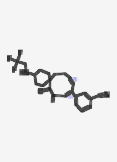 C=C1/C=C(c2cccc(C#N)c2)\C=C/CCC2(CCC(NCC(F)(F)F)CC2)C1=O